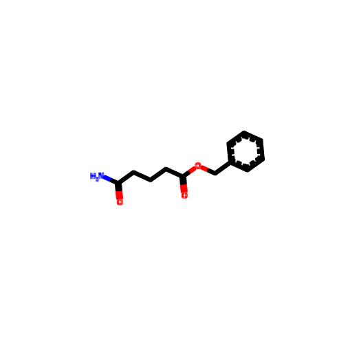 NC(=O)CCCC(=O)OCc1ccccc1